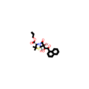 C=CCOC(=O)[C@@H]1N2C(=O)C(Br)(C(O)C(=O)c3cccc4ccccc34)[C@H]2SC1(C)C